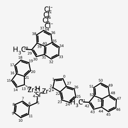 C1=C[C@@H]([Zr+2][SiH](Cc2ccccc2)[Zr+2][C@@H]2C=Cc3ccccc32)c2ccccc21.CC1=Cc2cccc3cccc1c23.CC1=Cc2cccc3cccc1c23.[Cl-].[Cl-].[Cl-].[Cl-]